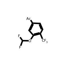 CC(=O)c1ccc(C(F)(F)F)c(OC(F)F)c1